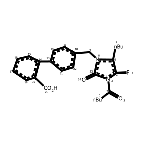 CCCCC(=O)n1c(F)c(CCCC)n(Cc2ccc(-c3ccccc3C(=O)O)cc2)c1=O